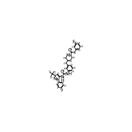 Cc1ccc(-n2nc(C(C)(C)C)cc2NC(=O)Nc2cccc(CC3CCN(C(=O)Cc4cccc(F)c4)CC3)c2)cc1